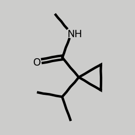 CNC(=O)C1(C(C)C)CC1